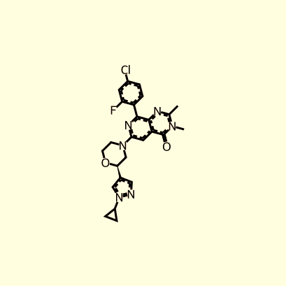 Cc1nc2c(-c3ccc(Cl)cc3F)nc(N3CCO[C@H](c4cnn(C5CC5)c4)C3)cc2c(=O)n1C